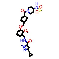 COc1c(CNC(=O)c2cc(C3CC3)nn2C)cccc1OCc1ccc(C(=O)N2CCC(NS(C)(=O)=O)CC2)cc1